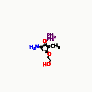 C[C@H]1[C@@H](OPP)[C@H](N)C[C@@H]1OCCO